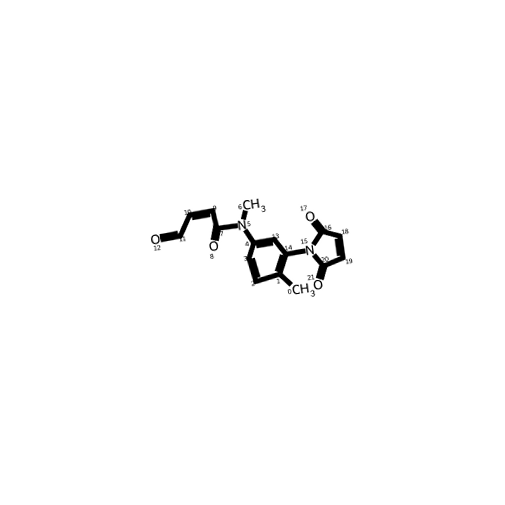 Cc1ccc(N(C)C(=O)/C=C\C=O)cc1N1C(=O)C=CC1=O